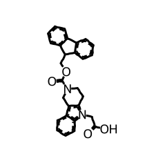 O=C(O)Cn1c2c(c3ccccc31)CN(C(=O)OCC1c3ccccc3-c3ccccc31)CC2